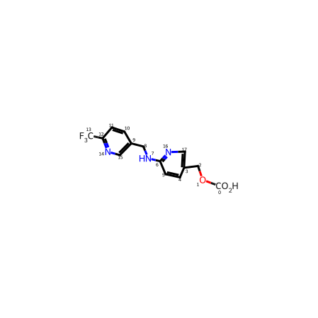 O=C(O)OCc1ccc(NCc2ccc(C(F)(F)F)nc2)nc1